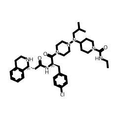 CCNC(=O)N1CCC(N(CC(C)C)N2CCN(C(=O)[C@@H](Cc3ccc(Cl)cc3)NC(=O)C[C@H]3NCCc4ccccc43)CC2)CC1